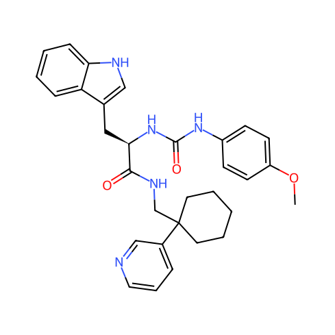 COc1ccc(NC(=O)N[C@H](Cc2c[nH]c3ccccc23)C(=O)NCC2(c3cccnc3)CCCCC2)cc1